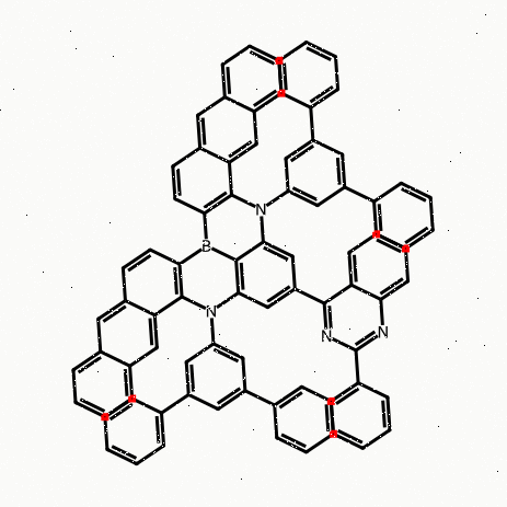 c1ccc(-c2cc(-c3ccccc3)cc(N3c4cc(-c5nc(-c6ccccc6)nc6ccccc56)cc5c4B(c4ccc6cc7ccccc7cc6c43)c3ccc4cc6ccccc6cc4c3N5c3cc(-c4ccccc4)cc(-c4ccccc4)c3)c2)cc1